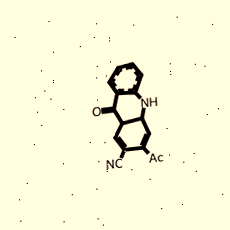 CC(=O)C1=CC2Nc3ccccc3C(=O)C2C=C1C#N